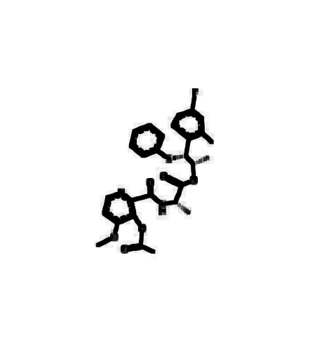 COc1ccnc(C(=O)N[C@@H](C)C(=O)O[C@@H](C)[C@H](Sc2ccccc2)c2ccc(F)cc2C)c1OC(C)=O